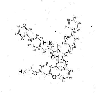 CCOc1ccc2c(c1)Oc1ccccc1C2NC(=O)[C@H](Cc1ccc(-c2ccccc2)nc1)NC(=O)[C@@H](N)Cc1ccc(-c2ccccc2)cc1